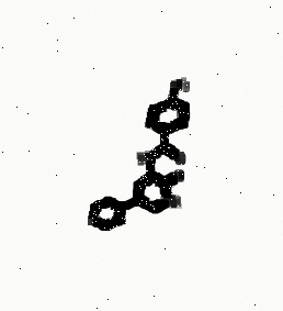 Nc1ccc(C(=O)Nc2cc(-c3ccncc3)c[nH]c2=O)cc1